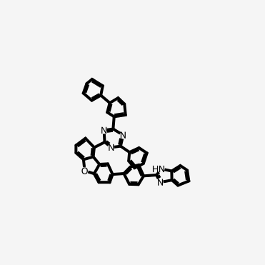 c1ccc(-c2cccc(-c3nc(-c4ccccc4)nc(-c4cccc5oc6ccc(-c7ccc(-c8nc9ccccc9[nH]8)cc7)cc6c45)n3)c2)cc1